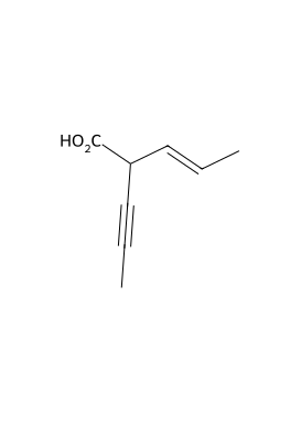 CC#CC(C=CC)C(=O)O